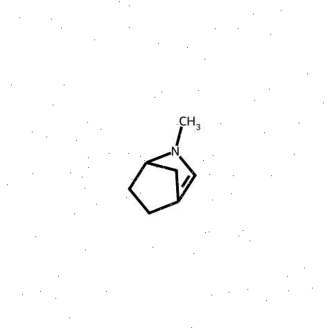 CN1C=C2CCC1C2